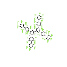 Cc1c(F)c(C2C(F)=C(c3c(F)c(-c4c(F)c(F)c(-c5c(F)c(F)c(F)c(F)c5F)c(F)c4F)c(F)c(-c4c(F)c(F)c(-c5c(F)c(F)c(F)c(F)c5F)c(F)c4F)c3F)C(F)=C(c3c(F)c(F)c(-c4c(F)c(F)c(F)c(F)c4F)c(F)c3F)C2(C)F)c(F)c(F)c1-c1c(F)c(F)c(F)c(F)c1F